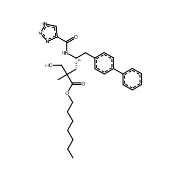 CCCCCCCOC(=O)C(C)(CO)C[C@@H](Cc1ccc(-c2ccccc2)cc1)NC(=O)c1c[nH]nn1